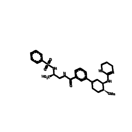 CO[C@@H]1CCN(c2cccc(C(=O)NC[C@H](NS(=O)(=O)c3ccccc3)C(=O)O)c2)C[C@H]1NC1=NCCCN1